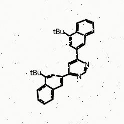 CC(C)(C)c1cc(-c2cc(-c3cc(C(C)(C)C)c4ccccc4c3)ncn2)cc2ccccc12